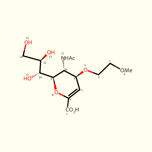 COCCO[C@H]1C=C(C(=O)O)O[C@@H]([C@H](O)[C@H](O)CO)[C@@H]1NC(C)=O